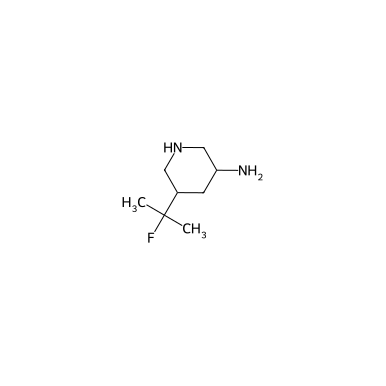 CC(C)(F)C1CNCC(N)C1